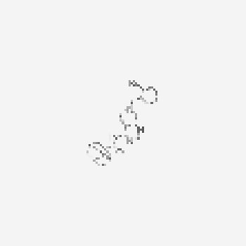 O=C(NC1=NC=NC2CN(Cc3ccccc3Br)CC=C12)C12CC3CC(CC(C3)C1)C2